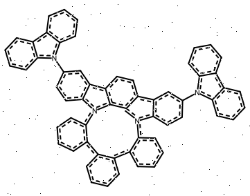 c1ccc2c(c1)c1ccccc1n1c3ccc(-n4c5ccccc5c5ccccc54)cc3c3ccc4c5cc(-n6c7ccccc7c7ccccc76)ccc5n(c5ccccc25)c4c31